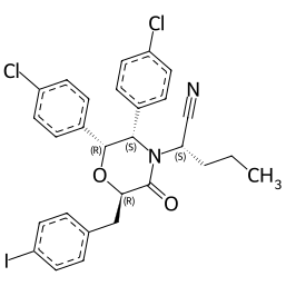 CCC[C@@H](C#N)N1C(=O)[C@@H](Cc2ccc(I)cc2)O[C@H](c2ccc(Cl)cc2)[C@@H]1c1ccc(Cl)cc1